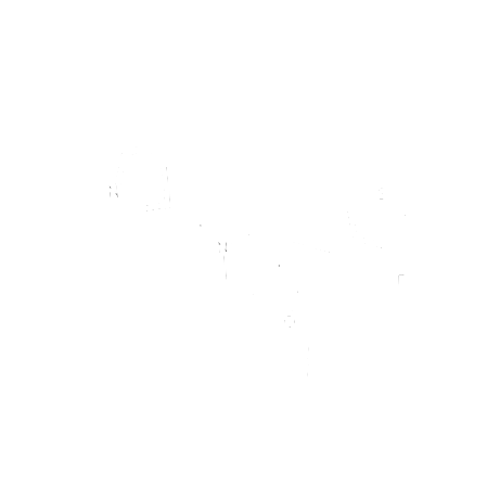 CCOCC1(CCc2cscc2F)CCN(C(C)(C)c2ccc(C)nc2)C1